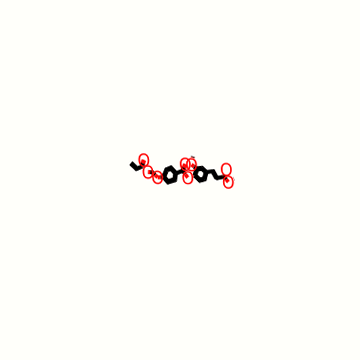 C=CC(=O)OCOc1ccc(C(=O)Oc2ccc(/C=C/C(=O)OC)cc2OC)cc1